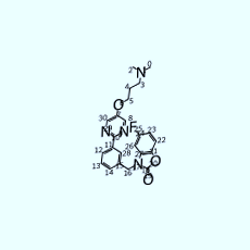 CN(C)CCCOc1cnc(-c2cccc(Cn3c(=O)oc4ccc(F)cc43)c2)nc1